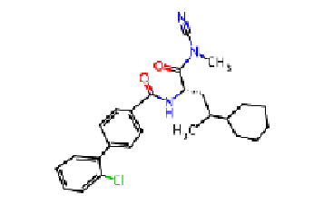 CC(C[C@H](NC(=O)c1ccc(-c2ccccc2Cl)cc1)C(=O)N(C)C#N)C1CCCCC1